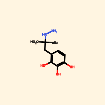 CCCCC(Cc1ccc(O)c(O)c1O)(NN)C(=O)O